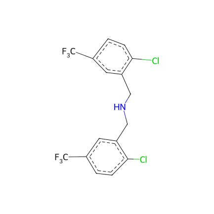 FC(F)(F)c1ccc(Cl)c(CNCc2cc(C(F)(F)F)ccc2Cl)c1